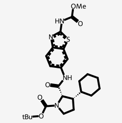 COC(=O)Nc1nc2ccc(NC(=O)[C@@H]3[C@H](C4CCCCC4)CCN3C(=O)OC(C)(C)C)cc2s1